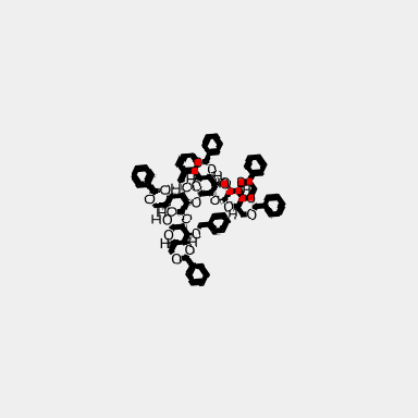 OC1O[C@@H]2COC(c3ccccc3)O[C@H]2[C@H](OCc2ccccc2)[C@@H]1O[C@@H]1O[C@@H]2COC(c3ccccc3)O[C@H]2[C@H](OCc2ccccc2)[C@@H]1O[C@@H]1O[C@@H]2COC(c3ccccc3)O[C@H]2[C@H](OCc2ccccc2)[C@@H]1O[C@@H]1O[C@@H]2COC(c3ccccc3)O[C@H]2[C@H](OCc2ccccc2)[C@@H]1O